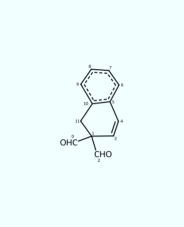 O=CC1(C=O)C=Cc2ccccc2C1